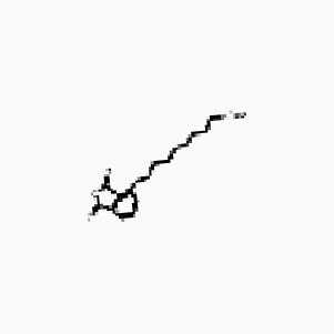 CCCCCCCCCCCCCCCCCCCc1cccc2c1C(=O)OC2=O